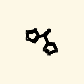 O=C(c1conn1)c1csnn1